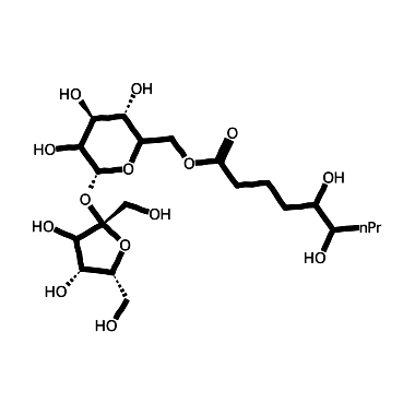 CCCC(O)C(O)CCCC(=O)OCC1O[C@H](O[C@]2(CO)O[C@H](CO)[C@H](O)C2O)C(O)[C@@H](O)[C@@H]1O